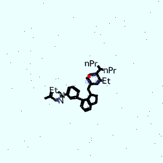 C=C(C)/C=N\N(CC)c1cccc(-c2cccc3c2C(CC(=C/C)/C=C(CC)\C(=C/C)C(CCC)CCC)CC3)c1